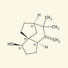 C=C1[C@H]2CC[C@@H](O)[C@@]23CC[C@H](C3)C1(C)C